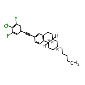 CCCCC[C@@H]1CC[C@@H]2c3ccc(C#Cc4cc(F)c(Cl)c(F)c4)cc3CC[C@@H]2C1